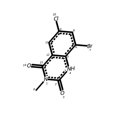 Cn1c(=O)[nH]c2c(Br)cc(Cl)cc2c1=O